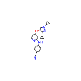 N#Cc1ccc(Nc2cc(Oc3cn(C4CC4)nc3C3CC3)ccn2)cc1